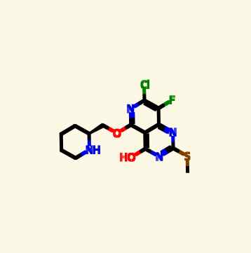 CSc1nc(O)c2c(OC[C@@H]3CCCCN3)nc(Cl)c(F)c2n1